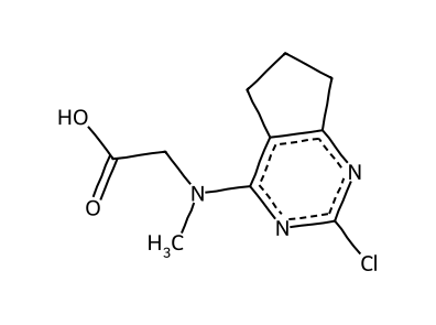 CN(CC(=O)O)c1nc(Cl)nc2c1CCC2